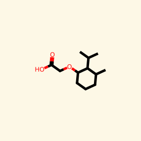 CC(C)C1C(C)CCCC1OCC(=O)O